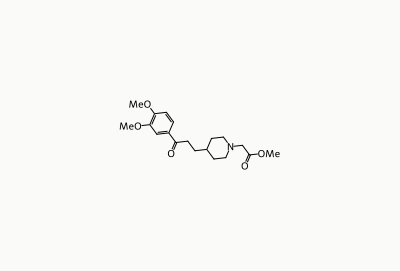 COC(=O)CN1CCC(CCC(=O)c2ccc(OC)c(OC)c2)CC1